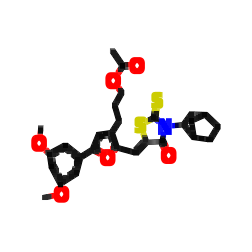 COc1cc(OC)cc(-c2cc(CCCOC(C)=O)c(C=C3SC(=S)N(C4CC5CCC4C5)C3=O)o2)c1